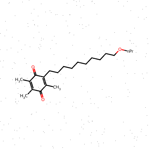 CCCOCCCCCCCCCCC1=C(C)C(=O)C(C)=C(C)C1=O